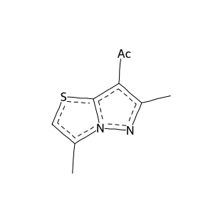 CC(=O)c1c(C)nn2c(C)csc12